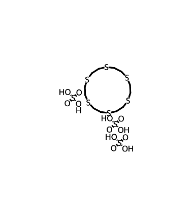 C1CSCCSCCSCCSCCSCCS1.O=S(=O)(O)O.O=S(=O)(O)O.O=S(=O)(O)O